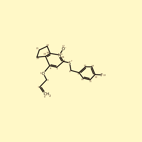 C=CCOc1cc(SCc2ccc(F)cc2)[n+]([O-])c2c1CCC2